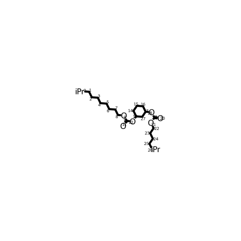 CC(C)CCCCCCCCOC(=O)OC1CCCC(OC(=O)OCCCCC(C)C)C1